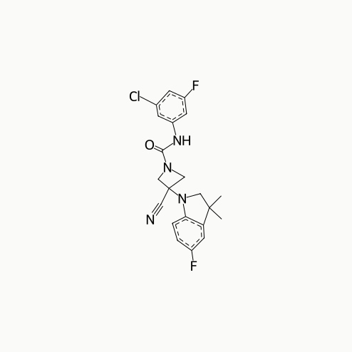 CC1(C)CN(C2(C#N)CN(C(=O)Nc3cc(F)cc(Cl)c3)C2)c2ccc(F)cc21